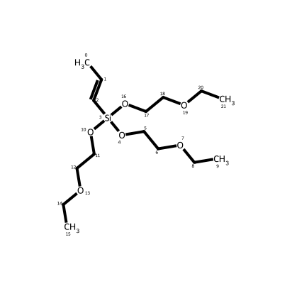 CC=C[Si](OCCOCC)(OCCOCC)OCCOCC